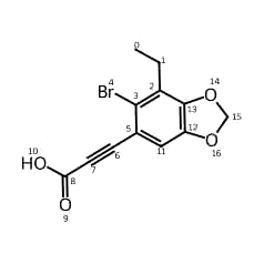 CCc1c(Br)c(C#CC(=O)O)cc2c1OCO2